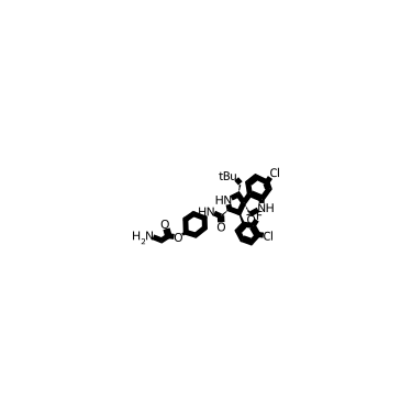 CC(C)(C)C[C@H]1N[C@@H](C(=O)N[C@H]2CC[C@H](OC(=O)CN)CC2)[C@H](c2cccc(Cl)c2F)[C@@]12C(=O)Nc1cc(Cl)ccc12